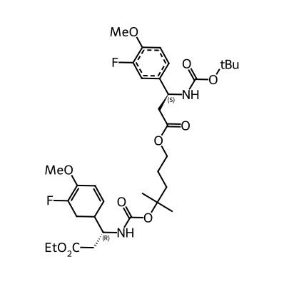 CCOC(=O)C[C@@H](NC(=O)OC(C)(C)CCCOC(=O)C[C@H](NC(=O)OC(C)(C)C)c1ccc(OC)c(F)c1)C1C=CC(OC)=C(F)C1